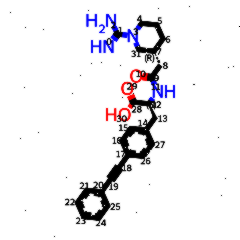 N=C(N)N1CCC[C@H](CC(=O)N[C@@H](Cc2ccc(C#Cc3ccccc3)cc2)C(=O)O)C1